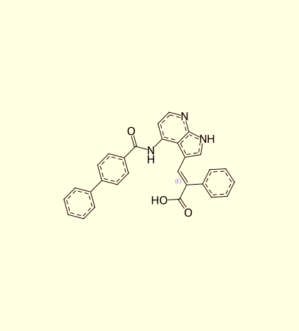 O=C(O)/C(=C/c1c[nH]c2nccc(NC(=O)c3ccc(-c4ccccc4)cc3)c12)c1ccccc1